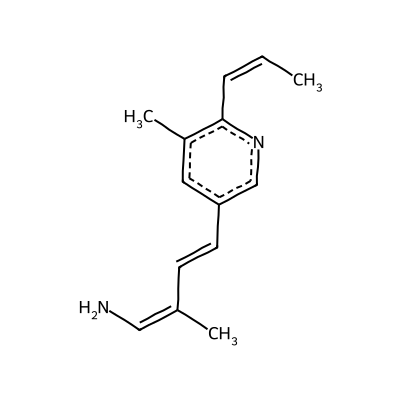 C/C=C\c1ncc(/C=C/C(C)=C\N)cc1C